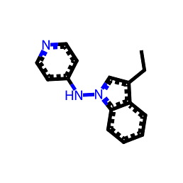 CCc1cn(Nc2ccncc2)c2ccccc12